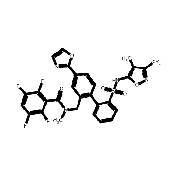 Cc1noc(NS(=O)(=O)c2ccccc2-c2ccc(-c3ncco3)cc2CN(C)C(=O)c2c(F)c(F)cc(F)c2F)c1C